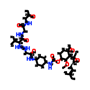 COC1C(OC(=O)N[C@H]2CC[C@H](NC(=O)CNN[C@H](C(=O)NCC(=O)NCC(C)=O)C(C)C)CC2)CC[C@]2(CO2)C1C1(C)O[C@@H]1CC=C(C)C